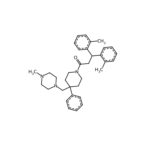 Cc1ccccc1C(CC(=O)N1CCC(CN2CCN(C)CC2)(c2ccccc2)CC1)c1ccccc1C